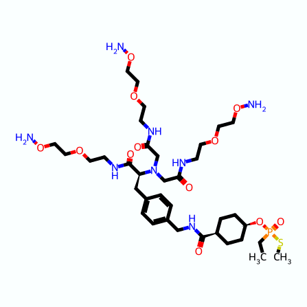 CCP(=O)(O[C@H]1CC[C@@H](C(=O)NCc2ccc(C[C@@H](C(=O)NCCOCCON)N(CC(=O)NCCOCCON)CC(=O)NCCOCCON)cc2)CC1)SC